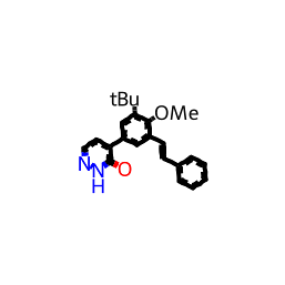 COc1c(C=Cc2ccccc2)cc(-c2ccn[nH]c2=O)cc1C(C)(C)C